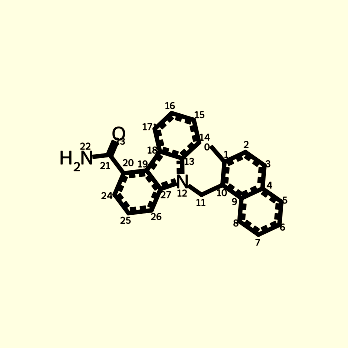 Cc1ccc2ccccc2c1Cn1c2ccc[c]c2c2c(C(N)=O)cccc21